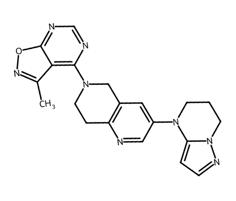 Cc1noc2ncnc(N3CCc4ncc(N5CCCn6nccc65)cc4C3)c12